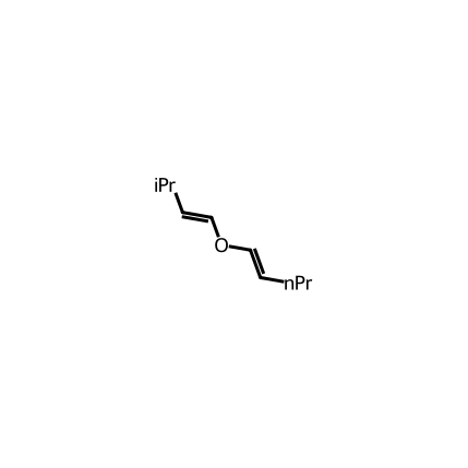 CCCC=COC=CC(C)C